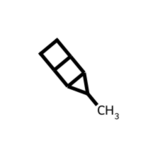 CC1C2C3CCC3C12